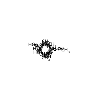 COc1ccc(-c2ccc(C(=O)N[C@H]3CC(=O)CNC(=O)[C@@H]4[C@@H](O)[C@@H](C)CN4C(=O)[C@H](CO)NC(=O)[C@H]([C@H](O)Cc4ccc(O)cc4)NC(=O)[C@@H]4C[C@@H](C)CN4C(=O)[C@H]([C@@H](C)O)NC3=O)cc2)cc1